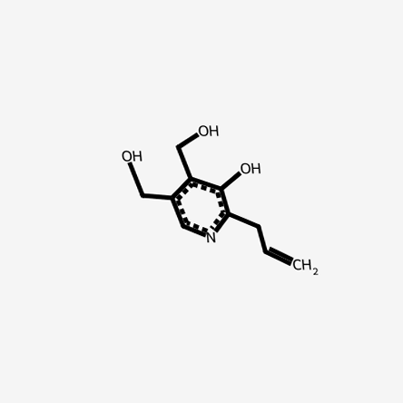 C=CCc1ncc(CO)c(CO)c1O